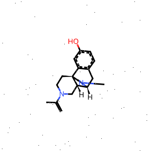 C=C(C)N1CC[C@]23CCCN(C)[C@H](Cc4ccc(O)cc42)[C@@H]3C1